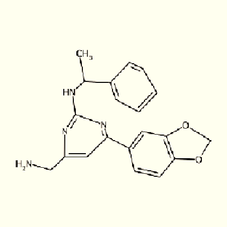 CC(Nc1nc(CN)cc(-c2ccc3c(c2)OCO3)n1)c1ccccc1